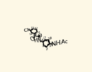 CC(=O)Nc1ccc(NC(=O)C(Cl)c2cccc(Cl)c2)cc1